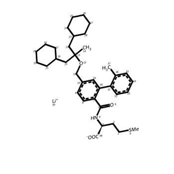 CSCC[C@H](NC(=O)c1ccc(COC(C)(CC2CCCCC2)CC2CCCCC2)cc1-c1ccccc1C)C(=O)[O-].[Li+]